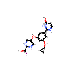 O=C(I)c1ncc(Oc2cc(OC3CC3)cc(-c3nccc(=O)[nH]3)c2)cn1